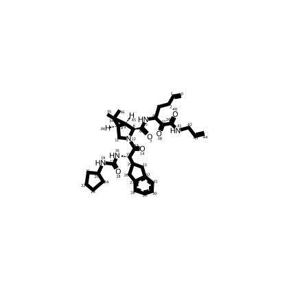 C=CCCC(NC(=O)[C@@H]1[C@H]2[C@@H](CN1C(=O)[C@@H](NC(=O)NC1CCCC1)C1Cc3ccccc3C1)C2(C)C)C(=O)C(=O)NCC=C